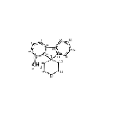 Cc1cccc2c1C1(CCCCC1)c1ccccc1-2